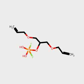 C=CCOCC(COCC=C)OP(O)(O)(F)F